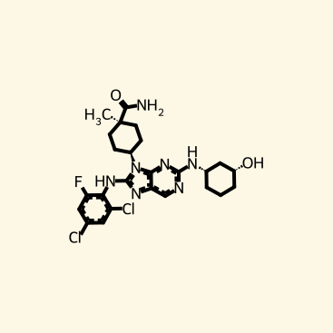 C[C@]1(C(N)=O)CC[C@@H](n2c(Nc3c(F)cc(Cl)cc3Cl)nc3cnc(N[C@H]4CCC[C@@H](O)C4)nc32)CC1